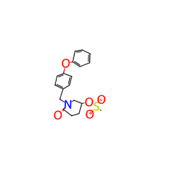 CS(=O)(=O)OC1CCC(=O)N(Cc2ccc(Oc3ccccc3)cc2)C1